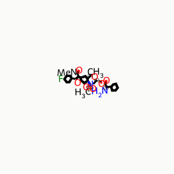 CNC(=O)c1c(-c2ccc(F)cc2)oc2cc3c(cc12)[C@H](C)O[C@H](COC(=O)[C@@H](N)c1ccccc1)CN3S(C)(=O)=O